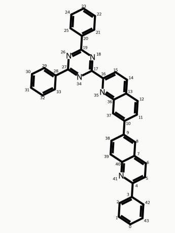 c1ccc(-c2ccc3cc(-c4ccc5ccc(-c6nc(-c7ccccc7)nc(-c7ccccc7)n6)nc5c4)ccc3n2)cc1